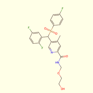 Cc1cc(C(=O)NCOCCO)ncc1C(c1cc(F)ccc1F)S(=O)(=O)c1ccc(F)cc1